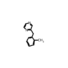 Cc1ccccc1Cc1cnccn1